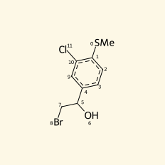 CSc1ccc(C(O)CBr)cc1Cl